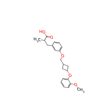 COc1ccccc1OC1CC(COc2cccc(CC(C)C(=O)O)c2)C1